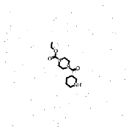 CCOC(=O)N1CCN(C(=O)[C@H]2CCCNC2)CC1